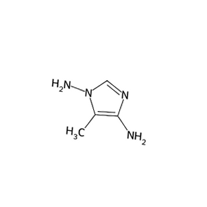 Cc1c(N)ncn1N